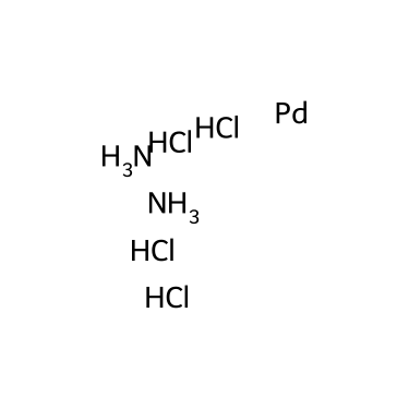 Cl.Cl.Cl.Cl.N.N.[Pd]